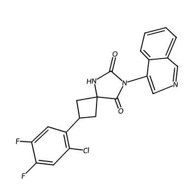 O=C1NC2(CC(c3cc(F)c(F)cc3Cl)C2)C(=O)N1c1cncc2ccccc12